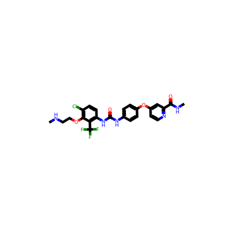 CNCCOc1c(Cl)ccc(NC(=O)Nc2ccc(Oc3ccnc(C(=O)NC)c3)cc2)c1C(F)(F)F